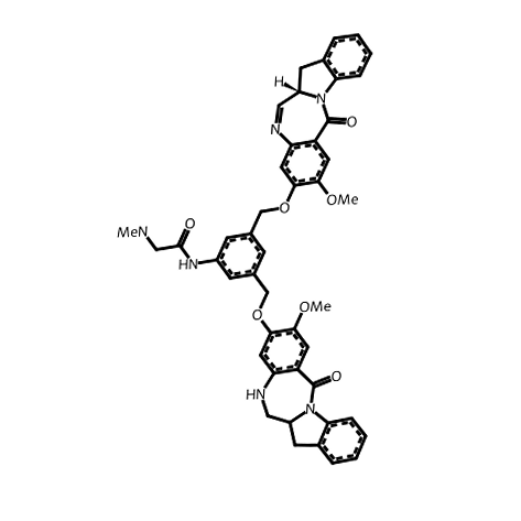 CNCC(=O)Nc1cc(COc2cc3c(cc2OC)C(=O)N2c4ccccc4C[C@H]2C=N3)cc(COc2cc3c(cc2OC)C(=O)N2c4ccccc4CC2CN3)c1